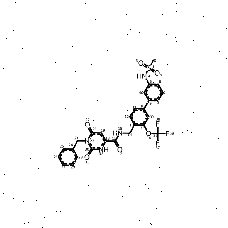 CS(=O)(=O)Nc1cccc(-c2ccc(CNC(=O)c3cc(=O)n(Cc4ccccc4)c(=O)[nH]3)c(OC(F)(F)F)c2)c1